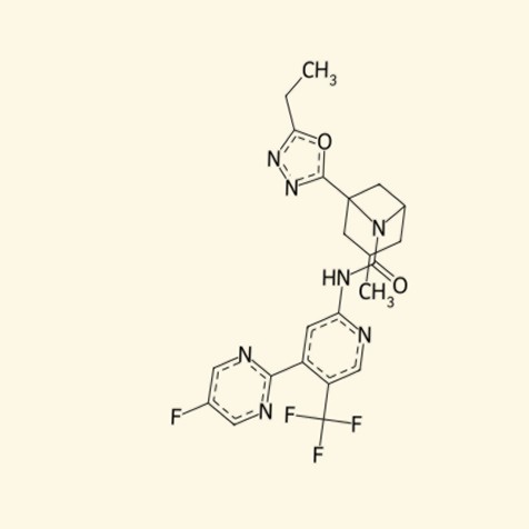 CCc1nnc(C23CC(C)CC(C2)N3C(=O)Nc2cc(-c3ncc(F)cn3)c(C(F)(F)F)cn2)o1